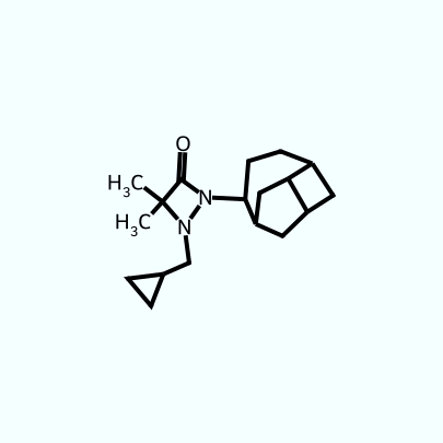 CC1(C)C(=O)N(C2CCC3CC4CC2CC34)N1CC1CC1